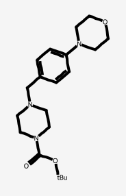 CC(C)(C)OC(=O)N1CCN(Cc2ccc(N3CCOCC3)cc2)CC1